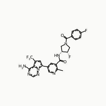 Cc1ncc(-c2cc(C(F)(F)F)c3c(N)ncnn23)cc1C(=O)N[C@@H]1CN(C(=O)c2ccc(F)cc2)C[C@@H]1F